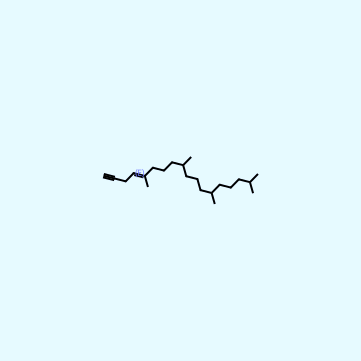 C#CC/C=C(\C)CCCC(C)CCCC(C)CCCC(C)C